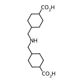 O=C(O)C1CCC(CNCC2CCC(C(=O)O)CC2)CC1